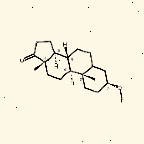 C[C@]12CC[C@H](OF)CC1CC[C@@H]1[C@@H]2CC[C@]2(C)C(=O)CC[C@@H]12